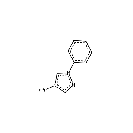 CCC[n+]1cnn(-c2ccccc2)c1